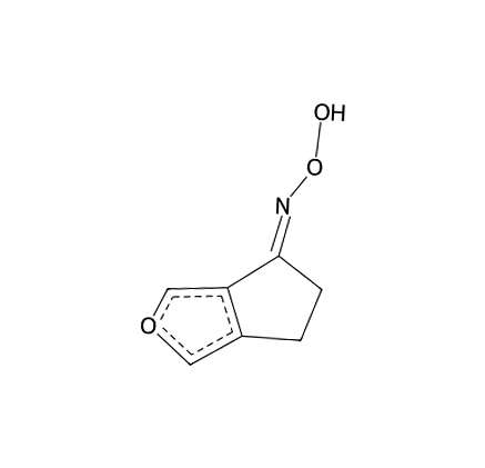 OO/N=C1\CCc2cocc21